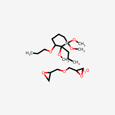 C(OCC1CO1)C1CO1.CCCOC1CCC[Si](OC)(OC)C1(CCC)OC.O